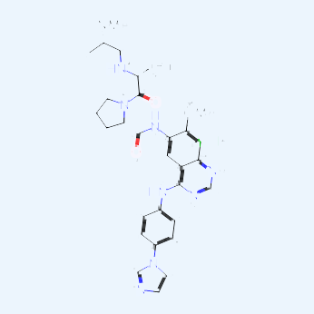 CN[C@@H](C)CN[C@H](C(=O)N1CCC[C@H]1C(=O)Nc1cc2c(Nc3ccc(-n4ccnc4)cc3)ncnc2cc1OC)C(C)(C)C.Cl